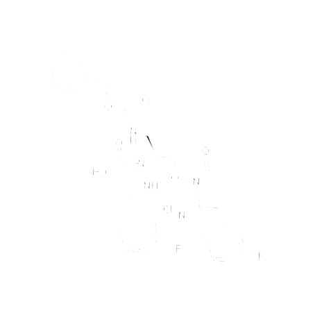 CC(=O)N(NCc1cccc(F)c1Cl)[C@@H](CNC(=O)OCc1ccccc1)CON(C=O)c1cc2cc(F)ccc2cn1